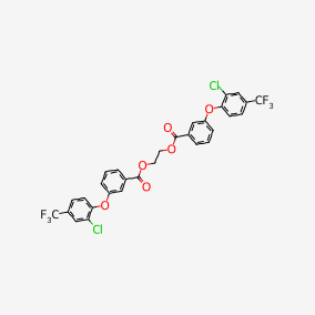 O=C(OCCOC(=O)c1cccc(Oc2ccc(C(F)(F)F)cc2Cl)c1)c1cccc(Oc2ccc(C(F)(F)F)cc2Cl)c1